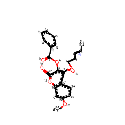 CC/C=C/CCOc1c(OC(=O)c2ccccc2)c(=O)oc2cc(OC(C)C)ccc12